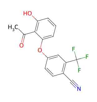 CC(=O)c1c(O)cccc1Oc1ccc(C#N)c(C(F)(F)F)c1